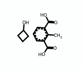 Cc1c(C(=O)O)cccc1C(=O)O.OC1CCC1